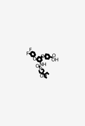 CCC(CC)C1(O)CCN(C(=O)Nc2cc(Oc3ccc(C(=O)O)cc3)cc(Oc3ccc(F)c(F)c3)c2)CC1